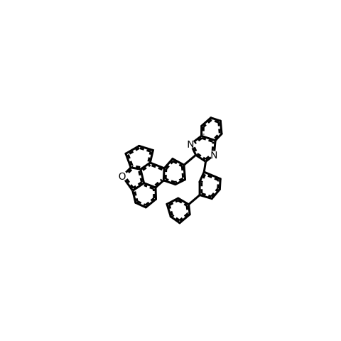 c1ccc(-c2cccc(-c3nc4ccccc4nc3-c3ccc4c(c3)c3cccc5oc6cccc4c6c53)c2)cc1